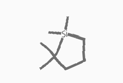 CC1(C)CCC[Si]1(C)C